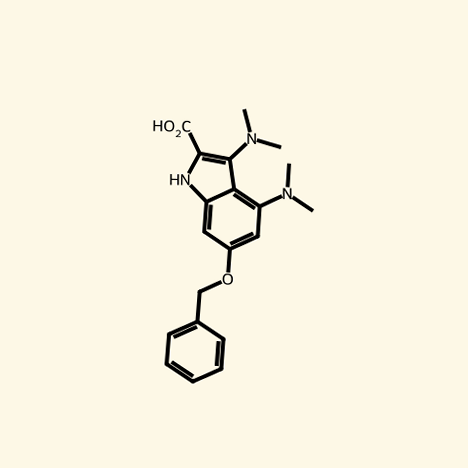 CN(C)c1cc(OCc2ccccc2)cc2[nH]c(C(=O)O)c(N(C)C)c12